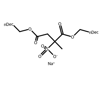 CCCCCCCCCCCOC(=O)CC(C)(C(=O)OCCCCCCCCCCC)S(=O)(=O)[O-].[Na+]